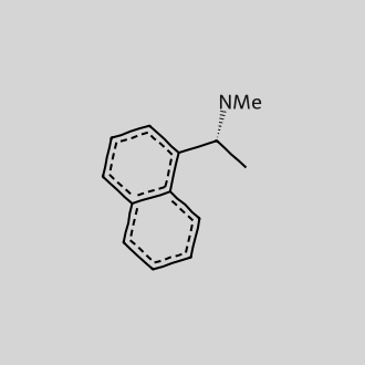 CN[C@H](C)c1cccc2ccccc12